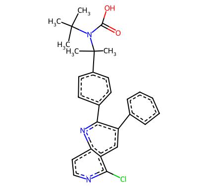 CC(C)(C)N(C(=O)O)C(C)(C)c1ccc(-c2nc3ccnc(Cl)c3cc2-c2ccccc2)cc1